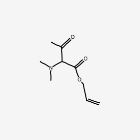 C=CCOC(=O)C(C(C)=O)N(C)C